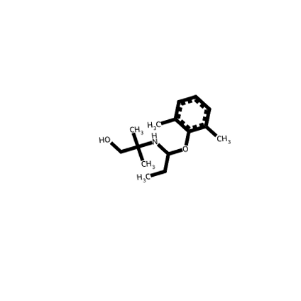 CCC(NC(C)(C)CO)Oc1c(C)cccc1C